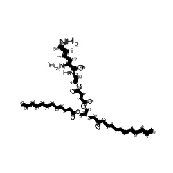 CCCCCCCCCCCC(=O)CC[C@H](COC(=O)CCCCCCCCCCC)COC(=O)CCC(=O)OCCNC(=O)C(N)CCCCN